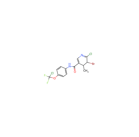 CC1C(C(=O)Nc2ccc(OC(F)(F)Cl)cc2)=CN=C(Cl)C1Br